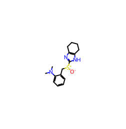 CN(C)c1ccccc1C[S+]([O-])c1nc2c([nH]1)CCCC2